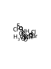 CN1C(C(=O)Nc2ccc(F)c(Cl)c2)CC(c2cc(Cl)c(Br)s2)NS1(=O)=O